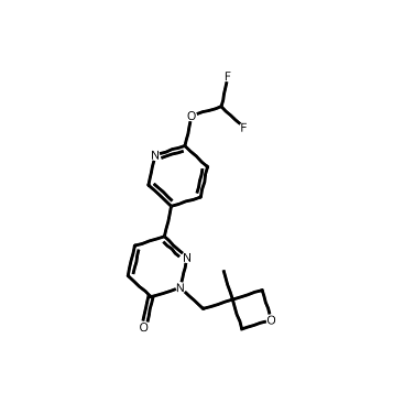 CC1(Cn2nc(-c3ccc(OC(F)F)nc3)ccc2=O)COC1